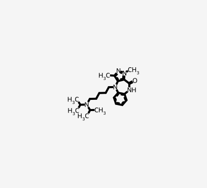 Cc1nn(C)c2c1N(CCCCCN(C(C)C)C(C)C)c1ccccc1NC2=O